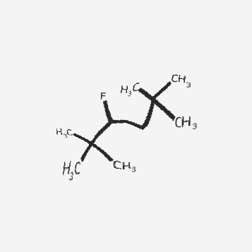 CC(C)(C)CC(F)C(C)(C)C